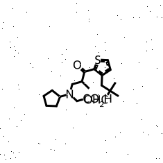 CC(CN(CC(=O)O)C1CCCC1)C(=O)c1sccc1CC(C)(C)C=O